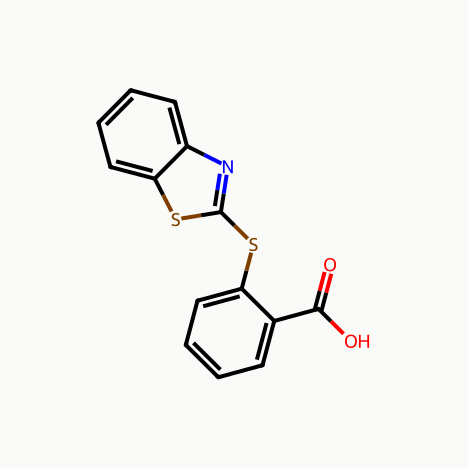 O=C(O)c1ccccc1Sc1nc2ccccc2s1